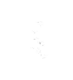 CC(C)(C)[C@H](c1nc(-c2cc(F)ccc2F)cn1Cc1ccccc1)N(CC[C@H](N)C(=O)NCCC1(C(N)=O)CCC(N2C(=O)C=CC2=O)CC1)C(=O)CO